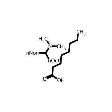 CCCCCCCC(=O)O.CCCCCCCCCC(CCCCCCCC)N(C)C